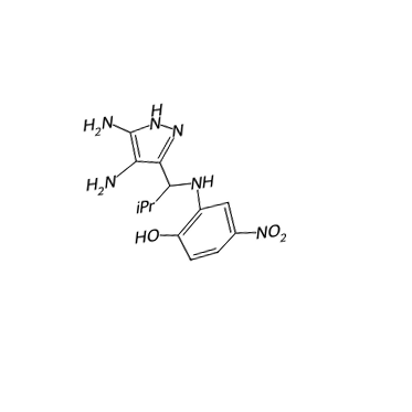 CC(C)C(Nc1cc([N+](=O)[O-])ccc1O)c1n[nH]c(N)c1N